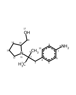 CC(C)(Cc1ccc(N)cc1)N1CCCC1CO